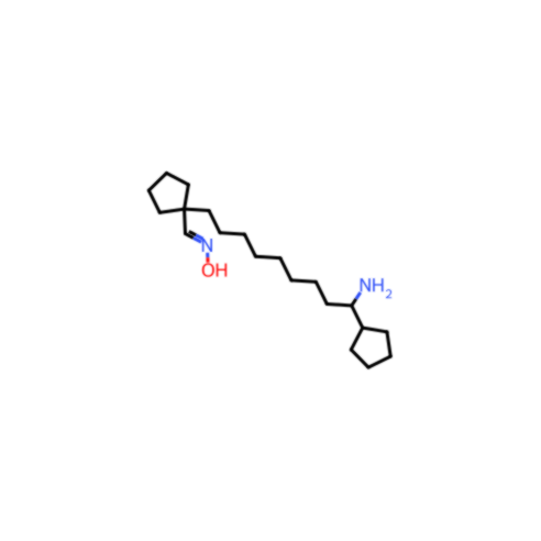 NC(CCCCCCCCC1(/C=N/O)CCCC1)C1CCCC1